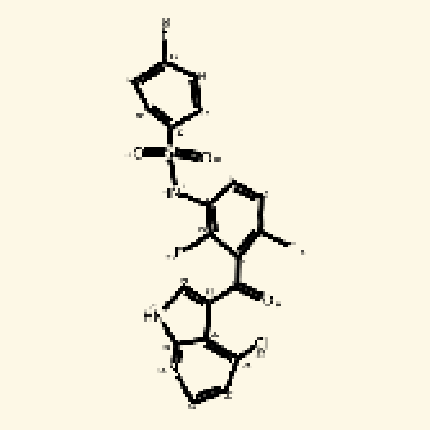 O=C(c1c(F)ccc(NS(=O)(=O)c2ccc(F)cc2)c1F)c1c[nH]c2nccc(Cl)c12